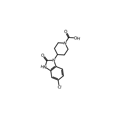 O=C(O)N1CCC(n2c(=O)[nH]c3cc(Cl)ccc32)CC1